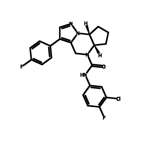 O=C(Nc1ccc(F)c(Cl)c1)N1Cc2c(-c3ccc(F)cc3)cnn2[C@@H]2CCC[C@@H]21